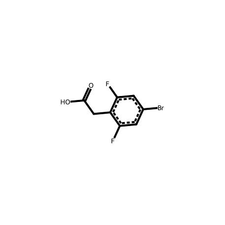 O=C(O)Cc1c(F)cc(Br)cc1F